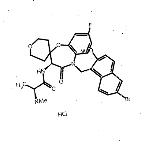 CN[C@@H](C)C(=O)N[C@@H]1C(=O)N(Cc2c(OC)ccc3cc(Br)ccc23)c2ccc(F)cc2OC12CCOCC2.Cl